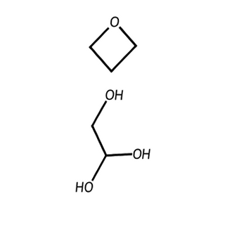 C1COC1.OCC(O)O